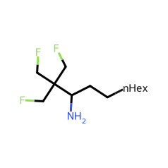 CCCCCCCCC(N)C(CF)(CF)CF